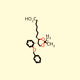 CC1(C)OC[C@H](c2ccccc2OCc2ccccc2)[C@@H](CCCCCCC(=O)O)O1